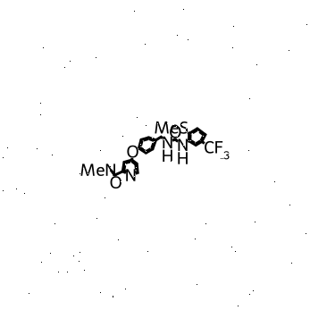 CNC(=O)c1cc(Oc2ccc(CNC(=O)Nc3cc(C(F)(F)F)ccc3SC)cc2)ccn1